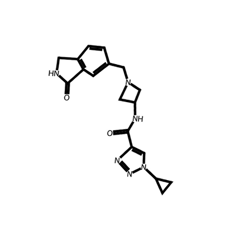 O=C(NC1CN(Cc2ccc3c(c2)C(=O)NC3)C1)c1cn(C2CC2)nn1